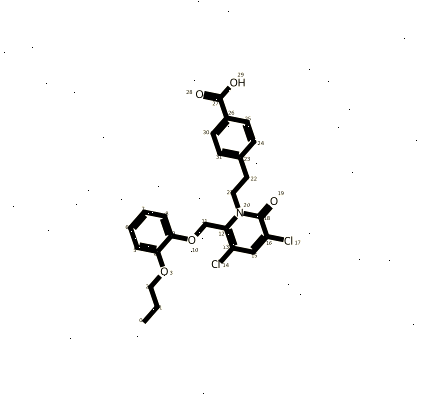 CCCOc1ccccc1OCc1c(Cl)cc(Cl)c(=O)n1CCc1ccc(C(=O)O)cc1